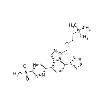 C[Si](C)(C)CCOCn1ncc2c(-c3cnc(S(C)(=O)=O)nn3)ccc(-n3nccn3)c21